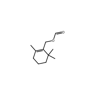 CC1=C(COC=O)C(C)(C)CCC1